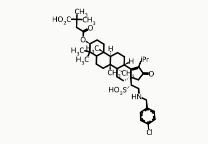 CC(C)C1=C2[C@H]3CC[C@@H]4[C@@]5(C)CC[C@H](OC(=O)CC(C)(C)C(=O)O)C(C)(C)C5CC[C@@]4(C)[C@]3(C)CC[C@@]2([C@H](CNCc2ccc(Cl)cc2)S(=O)(=O)O)CC1=O